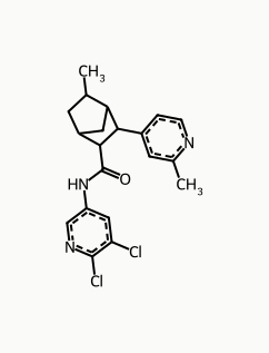 Cc1cc(C2C3CC(CC3C)C2C(=O)Nc2cnc(Cl)c(Cl)c2)ccn1